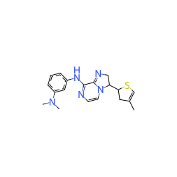 CC1=CSC(C2CN=C3C(Nc4cccc(N(C)C)c4)=NC=CN32)C1